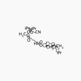 CC(C)CCCC(C)[C@H]1CCC2C3CC=C4CC(OC(=O)NCCCCCC(=O)N5CC(C)C(OP(OCCC#N)N(C(C)C)C(C)C)C5)CC[C@]4(C)C3CC[C@@]21C